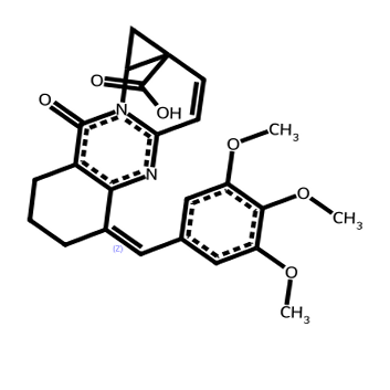 COc1cc(/C=C2/CCCc3c2nc2n(c3=O)C3CC3(C(=O)O)C=C2)cc(OC)c1OC